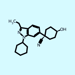 CCc1nn(C2CCCCC2)c2cc([C@]3(C#N)CC[C@@H](O)CC3)ccc12